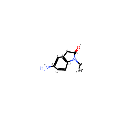 CC(C)CN1C(=O)Cc2cc(N)ccc21